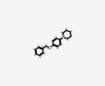 [CH]1CCN(c2ccc(OCc3ccccc3)cc2)CC1